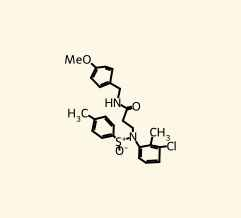 COc1ccc(CNC(=O)CCN(c2cccc(Cl)c2C)[S+]([O-])c2ccc(C)cc2)cc1